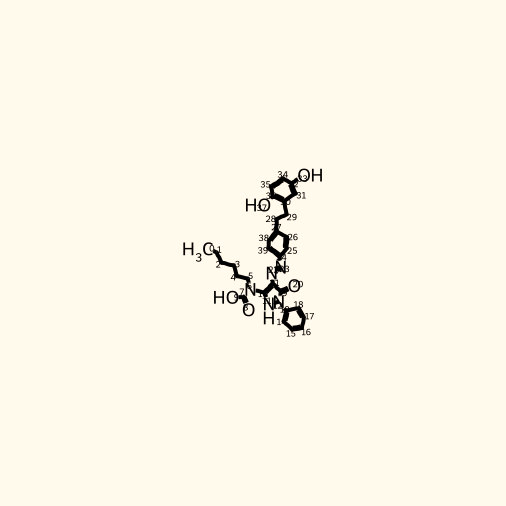 CCCCCCN(C(=O)O)c1[nH]n(-c2ccccc2)c(=O)c1N=Nc1ccc(CCc2cc(O)ccc2O)cc1